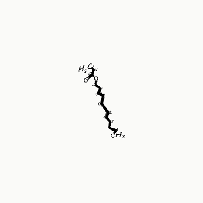 CCCCCCCC/C=C/COC(=O)CC